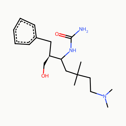 CN(C)CCC(C)(C)CC(NC(N)=O)[C@@H](CO)Cc1ccccc1